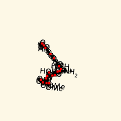 COc1cc2c3c(n(CCCN(CCO)C(=O)OCc4ccc(NC(=O)[C@H](CCCCN)NC(=O)[C@H](C)NC(=O)CCOCCOCCOCCOCCNC(=O)CCN5C(=O)C=CC5=O)cc4)c(=O)c2cc1OC)-c1cc2c(cc1C3=O)OCO2